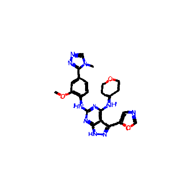 COc1cc(-c2nncn2C)ccc1Nc1nc(NC2CCOCC2)c2c(-c3cnco3)n[nH]c2n1